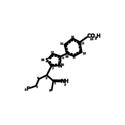 CC(=N)C(CCF)c1nc(-c2ccc(C(=O)O)cc2)cs1